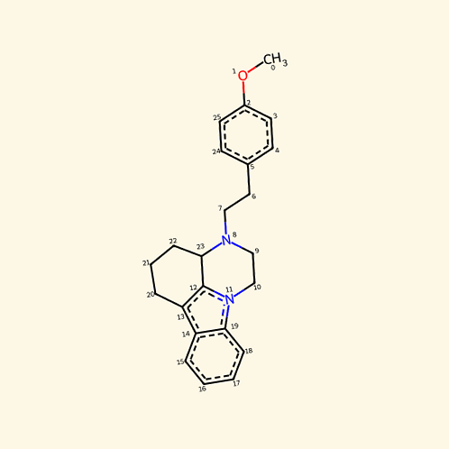 COc1ccc(CCN2CCn3c4c(c5ccccc53)CCCC42)cc1